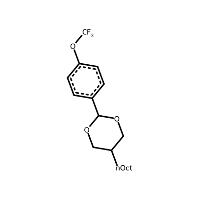 CCCCCCCCC1COC(c2ccc(OC(F)(F)F)cc2)OC1